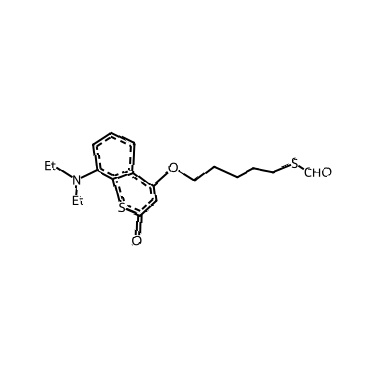 CCN(CC)c1cccc2c(OCCCCCSC=O)cc(=O)sc12